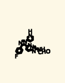 O=CNc1cn2nc(-c3c(-c4ccc(F)cc4)ncn3C3=CC=CNC3)ccc2n1